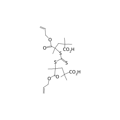 C=CCOC(=O)C(C)(CC(C)(C)C(=O)O)SC(=S)SC(C)(CC(C)(C)C(=O)O)C(=O)OCC=C